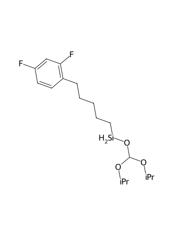 CC(C)OC(O[SiH2]CCCCCc1ccc(F)cc1F)OC(C)C